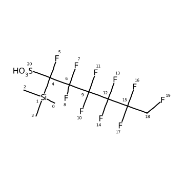 C[Si](C)(C)C(F)(C(F)(F)C(F)(F)C(F)(F)C(F)(F)CF)S(=O)(=O)O